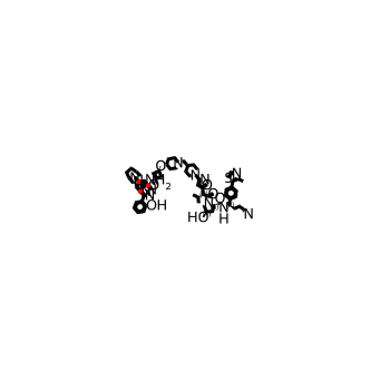 Cc1ncsc1-c1ccc([C@@H](CCC#N)NC(=O)[C@@H]2C[C@@H](O)CN2C(=O)[C@@H](c2cc(N3CCC(CN4CCC(O[C@H]5C[C@H](Oc6cc(N7C8CCC7CN(c7cc(-c9ccccc9O)nnc7N)C8)ccn6)C5)CC4)CC3)no2)C(C)C)cc1